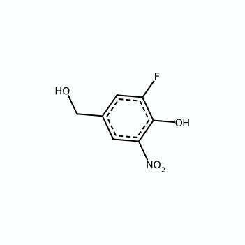 O=[N+]([O-])c1cc(CO)cc(F)c1O